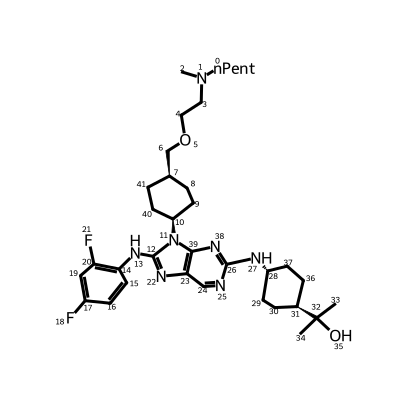 CCCCCN(C)CCOC[C@H]1CC[C@@H](n2c(Nc3ccc(F)cc3F)nc3cnc(N[C@H]4CC[C@H](C(C)(C)O)CC4)nc32)CC1